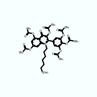 CCCCCCCCCCCCCCCCn1c(-c2cc(OC(=O)C(C)(C)C)c(OC(=O)C(C)(C)C)c(OC(=O)C(C)(C)C)c2)c(OC(=O)C(C)(C)C)c(=O)c2c(OC(=O)C(C)(C)C)cc(OC(=O)C(C)(C)C)cc21